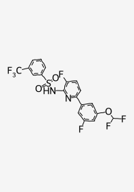 O=S(=O)(Nc1nc(-c2cc(F)cc(OC(F)F)c2)ccc1F)c1cccc(C(F)(F)F)c1